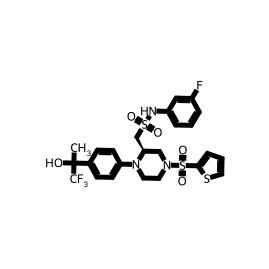 CC(O)(c1ccc(N2CCN(S(=O)(=O)c3cccs3)C[C@@H]2CS(=O)(=O)Nc2cccc(F)c2)cc1)C(F)(F)F